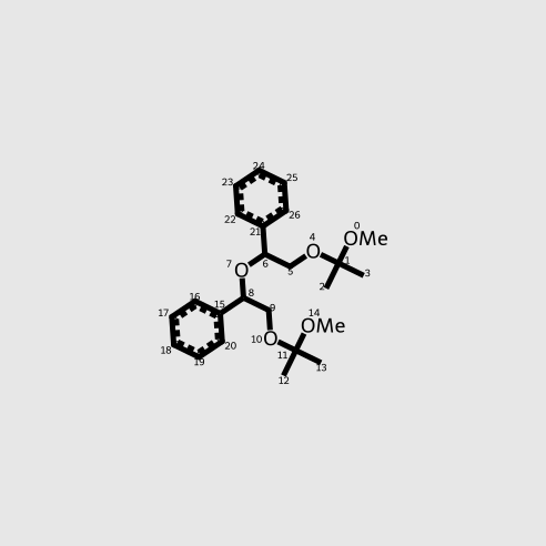 COC(C)(C)OCC(OC(COC(C)(C)OC)c1ccccc1)c1ccccc1